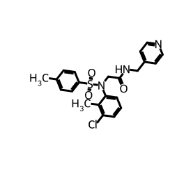 Cc1ccc(S(=O)(=O)N(CC(=O)NCc2ccncc2)c2cccc(Cl)c2C)cc1